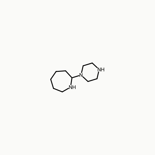 C1CCNC(N2CCNCC2)CC1